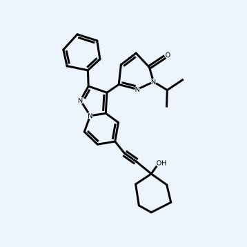 CC(C)n1nc(-c2c(-c3ccccc3)nn3ccc(C#CC4(O)CCCCC4)cc23)ccc1=O